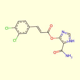 NC(=O)c1[nH]cnc1OC(=O)C=Cc1ccc(Cl)c(Cl)c1